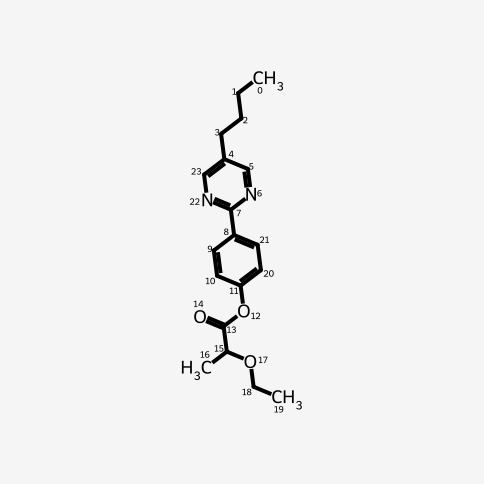 CCCCc1cnc(-c2ccc(OC(=O)C(C)OCC)cc2)nc1